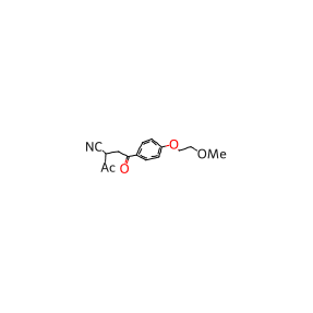 COCCOc1ccc(C(=O)CC(C#N)C(C)=O)cc1